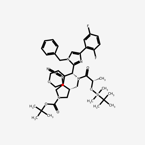 C[C@H](O[Si](C)(C)C(C)(C)C)C(=O)N(C[C@@H]1CN(C(=O)OC(C)(C)C)C[C@H]1N=[N+]=[N-])[C@@H](c1nc(-c2cc(F)ccc2F)cn1Cc1ccccc1)C1CCOCC1